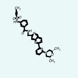 CC#CS(=O)(=O)Nc1cccc(C(=O)NCc2cc3nc(-c4cccc(N5C[C@@H](C)O[C@@H](C)C5)n4)ccc3cn2)c1